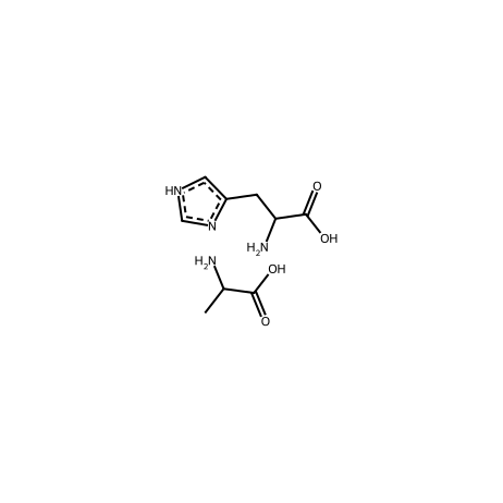 CC(N)C(=O)O.NC(Cc1c[nH]cn1)C(=O)O